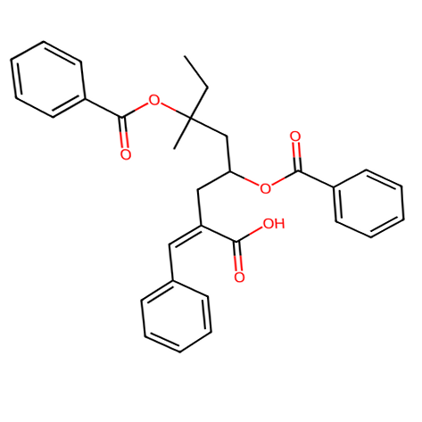 CCC(C)(CC(CC(=Cc1ccccc1)C(=O)O)OC(=O)c1ccccc1)OC(=O)c1ccccc1